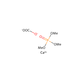 COP(=O)(OC)OC.O=C([O-])[O-].[Ca+2]